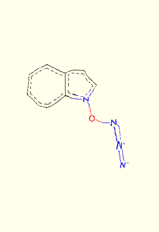 [N-]=[N+]=NOn1ccc2ccccc21